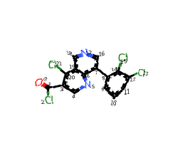 O=C(Cl)c1cnc2c(-c3cccc(Cl)c3Cl)cncc2c1Cl